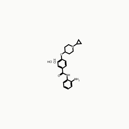 Cl.Cl.Nc1ccccc1NC(=O)c1ccc(OC2CCN(C3CC3)CC2)cc1